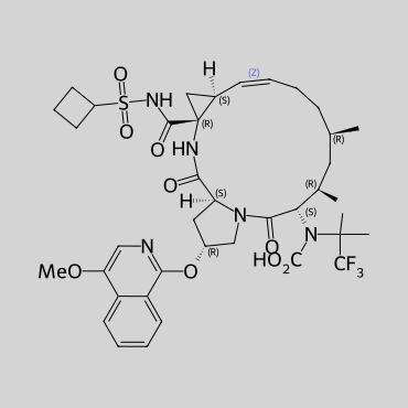 COc1cnc(O[C@@H]2C[C@H]3C(=O)N[C@]4(C(=O)NS(=O)(=O)C5CCC5)C[C@H]4/C=C\CC[C@@H](C)C[C@@H](C)[C@H](N(C(=O)O)C(C)(C)C(F)(F)F)C(=O)N3C2)c2ccccc12